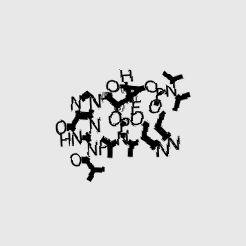 CC(C)C(=O)Nc1nc2c(ncn2[C@@H]2O[C@@H]3C(OP(OCCC#N)N(C(C)C)C(C)C)[C@]3(F)[C@H]2OP(OCCC#N)N(C(C)C)C(C)C)c(=O)[nH]1